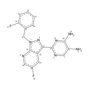 Nc1cnc(-c2nn(Cc3ccccc3F)c3ncc(F)cc23)nc1N